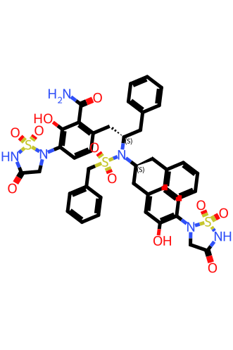 NC(=O)c1c(C[C@H](Cc2ccccc2)N([C@@H](Cc2ccccc2)Cc2ccc(N3CC(=O)NS3(=O)=O)c(O)c2)S(=O)(=O)Cc2ccccc2)ccc(N2CC(=O)NS2(=O)=O)c1O